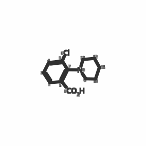 O=C(O)c1cccc(Cl)c1N1CCCCC1